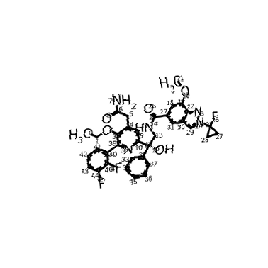 CCOc1c(CC(N)=O)cc([C@@](O)(CNC(=O)c2cc(OC)c3nn(C4(F)CC4)cc3c2)c2ccccc2)nc1-c1cccc(F)c1F